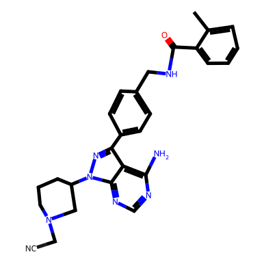 Cc1ccccc1C(=O)NCc1ccc(-c2nn(C3CCCN(CC#N)C3)c3ncnc(N)c23)cc1